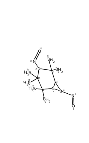 BC1(B)C2B(N=O)N2C(B)(B)C(B)(B)N1N=O